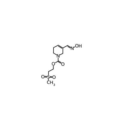 CS(=O)(=O)CCOC(=O)N1CCC=C(C=NO)C1